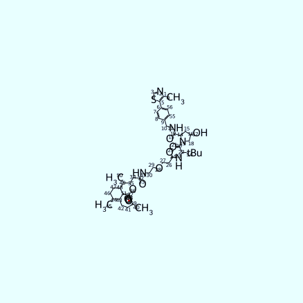 Cc1ncsc1-c1ccc(CNC(=O)C2CC(O)CN2C(=O)C(NC(=O)CCOCCNC(=O)CC2OC3OC4(C)CCC5C(C)CCC(C2C)C35OO4)C(C)(C)C)cc1